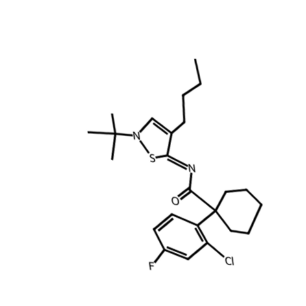 CCCCc1cn(C(C)(C)C)sc1=NC(=O)C1(c2ccc(F)cc2Cl)CCCCC1